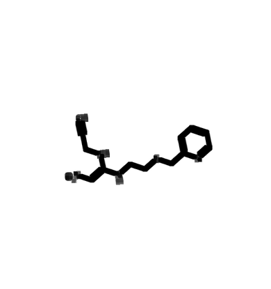 C#CCNC(=C[N+](=O)[O-])NCCSCc1ccccn1